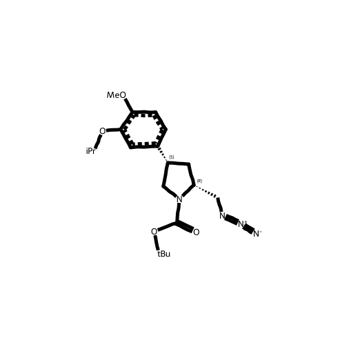 COc1ccc([C@@H]2C[C@H](CN=[N+]=[N-])N(C(=O)OC(C)(C)C)C2)cc1OC(C)C